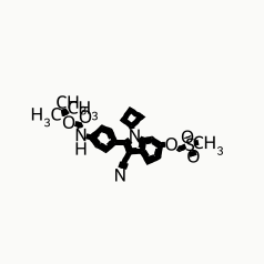 CC(C)(C)OC(=O)Nc1ccc(-c2c(C#N)c3ccc(OCS(C)(=O)=O)cc3n2C2CCC2)cc1